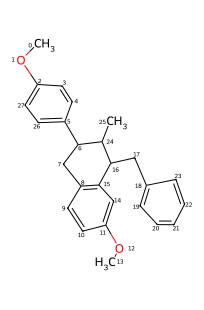 COc1ccc(C2Cc3ccc(OC)cc3C(Cc3ccccc3)C2C)cc1